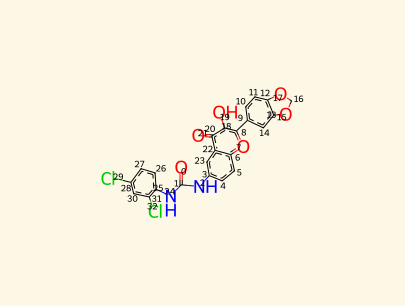 O=C(Nc1ccc2oc(-c3ccc4c(c3)OCO4)c(O)c(=O)c2c1)Nc1ccc(Cl)cc1Cl